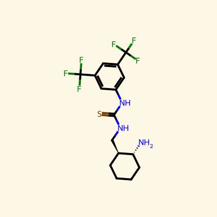 N[C@@H]1CCCC[C@H]1CNC(=S)Nc1cc(C(F)(F)F)cc(C(F)(F)F)c1